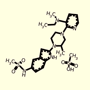 CCN(C)c1cccnc1N1CCN(c2cc3cc(NS(C)(=O)=O)ccc3[nH]2)C(C)C1.CS(=O)(=O)O